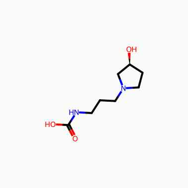 O=C(O)NCCCN1CC[C@H](O)C1